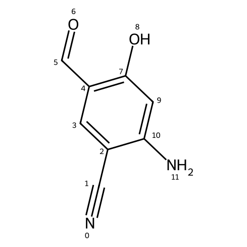 N#Cc1cc(C=O)c(O)cc1N